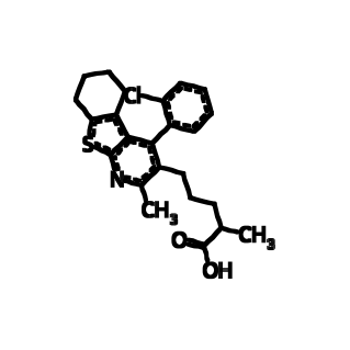 Cc1nc2sc3c(c2c(-c2ccccc2Cl)c1CCCC(C)C(=O)O)CCCC3